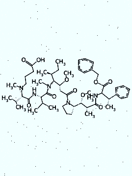 CC[C@H](C)[C@@H]([C@@H](CC(=O)N1CCC[C@H]1[C@H](OC)[C@@H](C)C(=O)NC(C(=O)OCc1ccccc1)[C@@H](C)c1ccccc1)OC)N(C)C(=O)[C@@H](NC(=O)[C@H](C(C)C)N(C)CCCC(=O)O)C(C)C